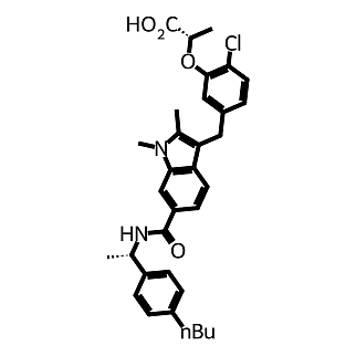 CCCCc1ccc([C@H](C)NC(=O)c2ccc3c(Cc4ccc(Cl)c(O[C@@H](C)C(=O)O)c4)c(C)n(C)c3c2)cc1